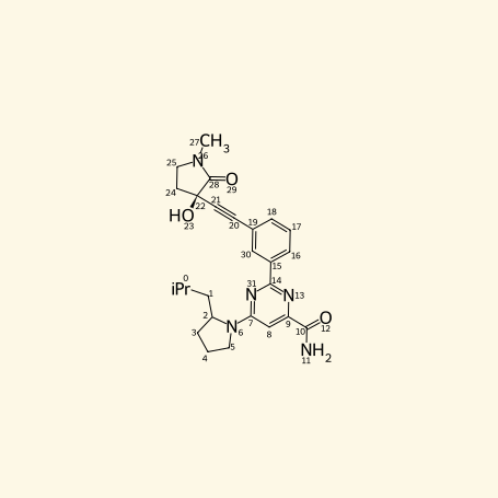 CC(C)CC1CCCN1c1cc(C(N)=O)nc(-c2cccc(C#C[C@]3(O)CCN(C)C3=O)c2)n1